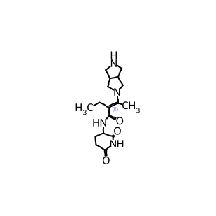 CC/C(C(=O)NC1CCC(=O)NC1=O)=C(/C)N1CC2CNCC2C1